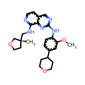 COc1cc(C2CCOCC2)ccc1Nc1ncc2ccnc(NC[C@]3(C)CCOC3)c2n1